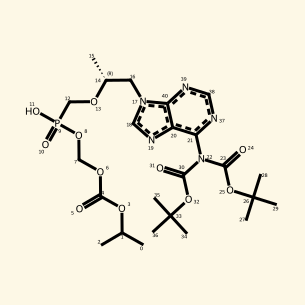 CC(C)OC(=O)OCOP(=O)(O)CO[C@H](C)Cn1cnc2c(N(C(=O)OC(C)(C)C)C(=O)OC(C)(C)C)ncnc21